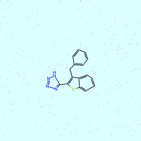 c1ccc(Cc2c(-c3nnn[nH]3)sc3ccccc23)cc1